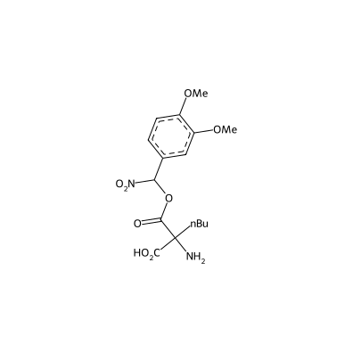 CCCCC(N)(C(=O)O)C(=O)OC(c1ccc(OC)c(OC)c1)[N+](=O)[O-]